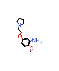 COc1ccc(OCCN2CCCC2)cc1N